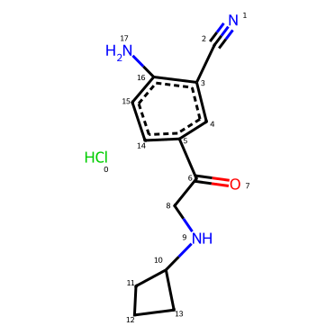 Cl.N#Cc1cc(C(=O)CNC2CCC2)ccc1N